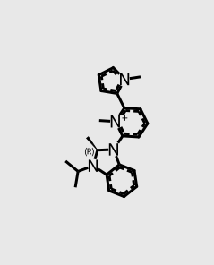 CC(C)N1c2ccccc2N(c2cccc(-c3cccn3C)[n+]2C)[C@@H]1C